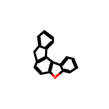 c1ccc2c(c1)Cc1ccc3oc4ccccc4c3c1-2